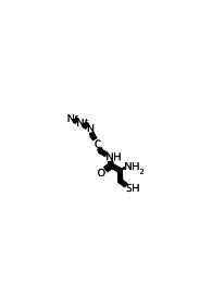 [N-]=[N+]=NCCCNC(=O)[C@@H](N)CS